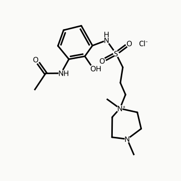 CC(=O)Nc1cccc(NS(=O)(=O)CCC[N+]2(C)CCN(C)CC2)c1O.[Cl-]